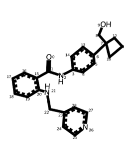 O=C(Nc1ccc(C2(CO)CCC2)cc1)c1ccccc1NCc1ccncc1